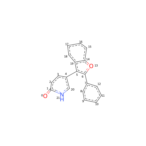 O=c1ccc(-c2c(-c3ccccc3)oc3ccccc23)c[nH]1